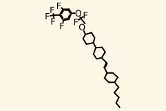 CCCCCC1CCC(/C=C/C2CCC(C3CCC(OCC(F)(F)Oc4cc(F)c(C(F)(F)F)c(F)c4)CC3)CC2)CC1